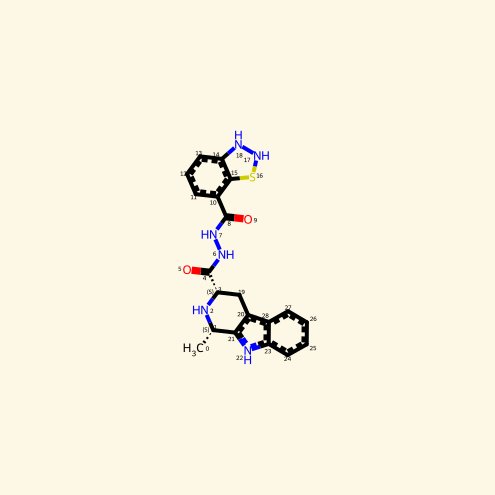 C[C@@H]1N[C@H](C(=O)NNC(=O)c2cccc3c2SNN3)Cc2c1[nH]c1ccccc21